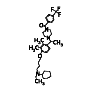 CCN(CCCCOc1ccc(C(C)N2CCN(C(=O)c3ccc(C(F)(F)F)cc3)CC2)c(C)c1C)C1CCCCC1